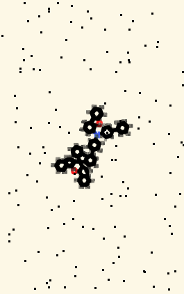 C1=CC(N(c2ccc(-c3cccc4c3-c3ccccc3C43c4ccc5ccccc5c4OC4c5ccccc5C=CC43)cc2)c2cccc3c2oc2ccccc23)CC=C1c1ccccc1